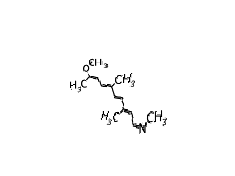 C\N=C/C=C(C)/C=C/C(C)=C/C=C(\C)OC